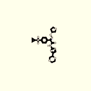 O=C(Nc1ncc(C2COCCO2)s1)/C(=N/O[C@@H]1CCOC1)c1ccc(S(=O)(=O)C2CC2)cc1